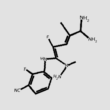 C/C(=C\C(F)=C(\Nc1cccc(C#N)c1F)N(C)N)C(N)N